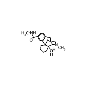 CNC(=O)c1ccc2c(c1)[C@@]13CCCC[C@@]1(O)[C@@H]1N(C)C[C@]1(C2)C3